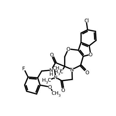 COc1cccc(F)c1CNC(=O)C1(C)COc2c(oc3ccc(Cl)cc23)C(=O)N1CC(=O)N(C)C